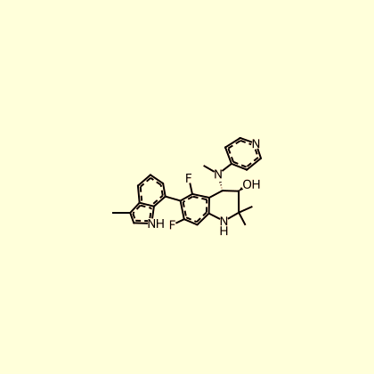 Cc1c[nH]c2c(-c3c(F)cc4c(c3F)[C@H](N(C)c3ccncc3)[C@@H](O)C(C)(C)N4)cccc12